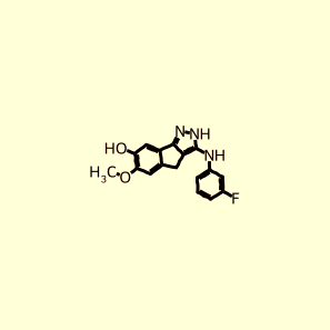 COc1cc2c(cc1O)-c1n[nH]c(Nc3cccc(F)c3)c1C2